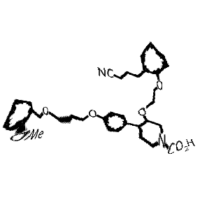 COc1ccccc1COCCCOc1ccc(C2CCN(C(=O)O)CC2OCCOc2ccccc2CCCC#N)cc1